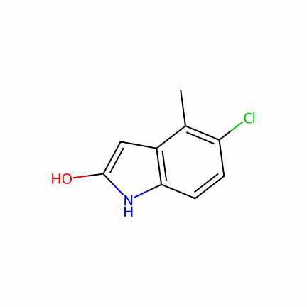 Cc1c(Cl)ccc2[nH]c(O)cc12